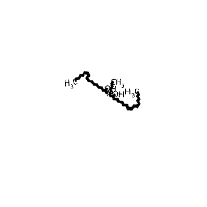 CCCCC/C=C\C/C=C\CCCCCCC(O)CN(CC(O)CCCCCC/C=C\C/C=C\CCCCC)SCCCC